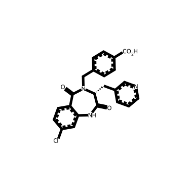 O=C(O)c1ccc(CN2C(=O)c3ccc(Cl)cc3NC(=O)[C@H]2Cc2cccnc2)cc1